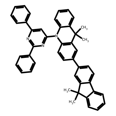 CC1(C)c2ccccc2-c2ccc(-c3ccc4c(c3)C(C)(C)c3ccccc3N4c3cc(-c4ccccc4)nc(-c4ccccc4)n3)cc21